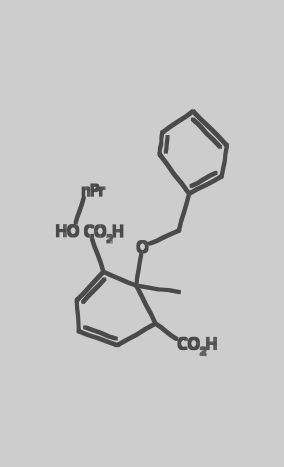 CC1(OCc2ccccc2)C(C(=O)O)=CC=CC1C(=O)O.CCCO